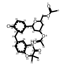 CC(=O)OCC1CC(OC(C)=O)CC(c2ccc(Cl)c(Cc3ccc4c(c3)NC(=O)C(C)(C)O4)c2)O1